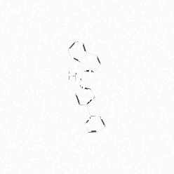 IN(c1ccc(-c2ccccc2)cc1)c1cccc2ccccc12